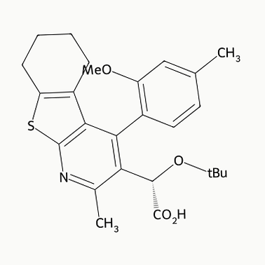 COc1cc(C)ccc1-c1c([C@H](OC(C)(C)C)C(=O)O)c(C)nc2sc3c(c12)CCCC3